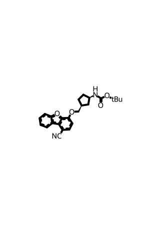 CC(C)(C)OC(=O)N[C@@H]1CC[C@H](COc2ccc(C#N)c3c2oc2ccccc23)C1